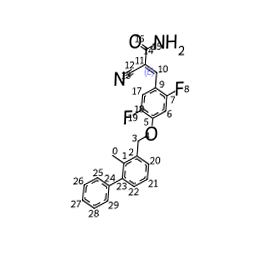 Cc1c(COc2cc(F)c(/C=C(\C#N)C(N)=O)cc2F)cccc1-c1ccccc1